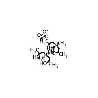 CC(O)C[N+](C)(C)CC(C)O.CC(O)C[N+](C)(C)CC(C)O.O=S(=O)([O-])[O-]